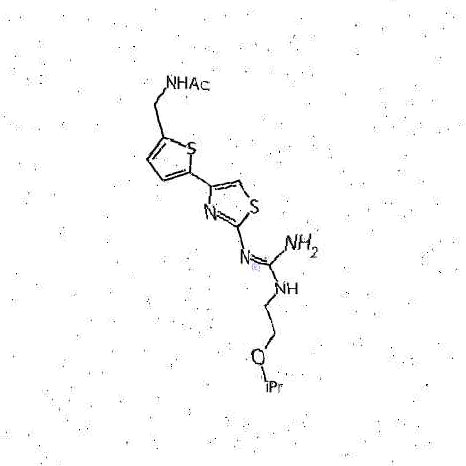 CC(=O)NCc1ccc(-c2csc(/N=C(\N)NCCOC(C)C)n2)s1